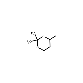 CC1CCOC(C(F)(F)F)(C(F)(F)F)O1